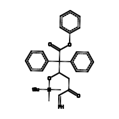 CC(C)(C)[Si](C)(C)OC(CC(=O)C=P)C(C(=O)Oc1ccccc1)(c1ccccc1)c1ccccc1